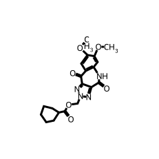 COc1cc2[nH]c(=O)c3nn(COC(=O)C4CCCCC4)nc3c(=O)c2cc1OC